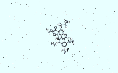 Cc1nc(N[C@H](C)c2cc(N)cc(C(F)(F)F)c2)c2cc(C(=O)N(C)C)c(N3CC[C@@H]3C(=O)O)nc2n1